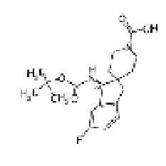 CC(C)(C)OC(=O)N[C@@H]1c2cc(F)ccc2CC12CCN(C(=O)O)CC2